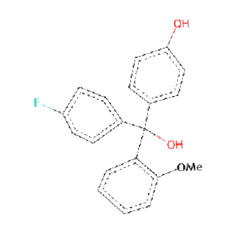 COc1ccccc1C(O)(c1ccc(O)cc1)c1ccc(F)cc1